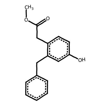 COC(=O)Cc1ccc(O)cc1Cc1ccccc1